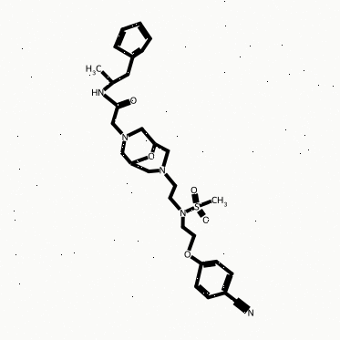 CC(Cc1ccccc1)NC(=O)CN1CC2CN(CCN(CCOc3ccc(C#N)cc3)S(C)(=O)=O)CC(C1)O2